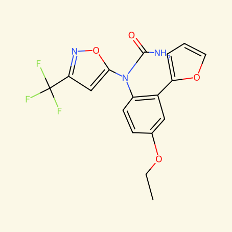 CCOc1ccc(N(C(N)=O)c2cc(C(F)(F)F)no2)c(-c2ccco2)c1